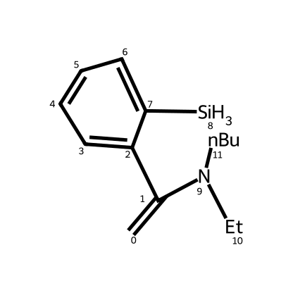 C=C(c1ccccc1[SiH3])N(CC)CCCC